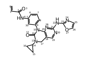 C=CC(=O)Nc1cccc(N2C(=O)N(C3CC3)Cc3cnc(Nc4ncco4)nc32)c1